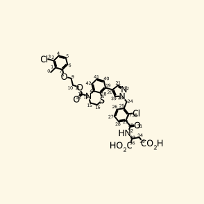 Cc1c(Cl)cccc1OCCOC(=O)N1CCSc2c(-c3cnn(Cc4cccc(C(=O)NC(CC(=O)O)C(=O)O)c4Cl)c3)cccc21